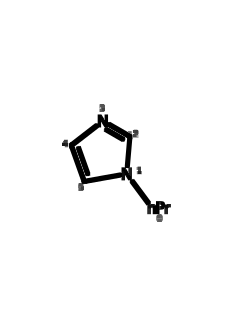 CCCn1[c]ncc1